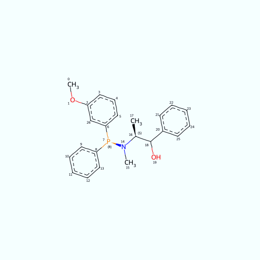 COc1cccc([P@](c2ccccc2)N(C)[C@@H](C)C(O)c2ccccc2)c1